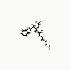 COCCNCCC(=O)N/C(SC(C)C)=C(/C)c1nc2ccccc2s1